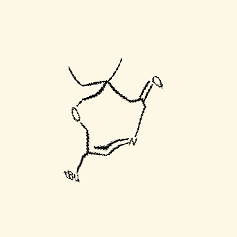 CC(C)(C)C1=NC(=O)C(C)(C)O1